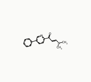 CN(C)C=CC(=O)c1ccc(-c2ccccc2)cn1